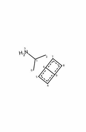 CC(C)N.c1cc2ccc1-2